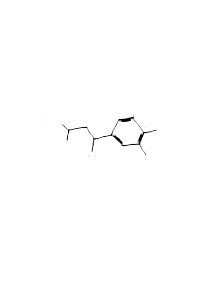 CC(C)CC(N)c1ccc(F)c(F)c1